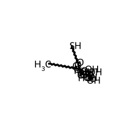 CCCCCCCCCCCCCCCC(=O)O[C@H](COC(=O)CCCCCCCCCS)COP(=O)(O)OC1C(O)[C@@H](O)C(O)[C@@H](OP(=O)(O)O)[C@H]1O